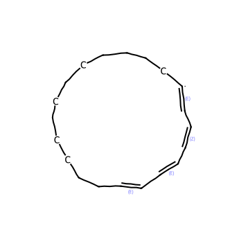 [C]1=C/C=C\C=C\C=C\CCCCCCCCCCCC/1